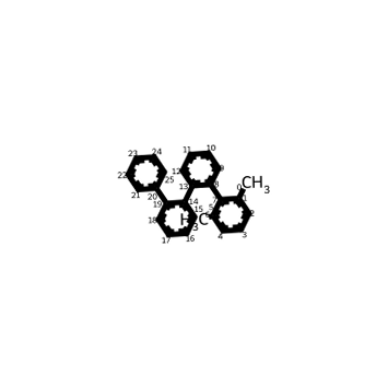 Cc1cccc(C)c1-c1ccccc1-c1ccccc1-c1ccccc1